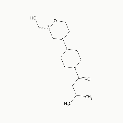 CC(C)CC(=O)N1CCC(N2CCO[C@@H](CO)C2)CC1